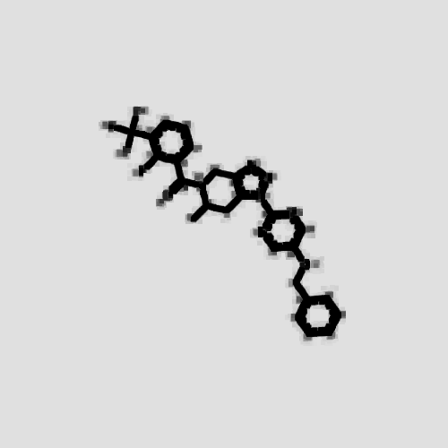 CC1Cc2c(nnn2-c2ncc(OCc3ccccc3)cn2)CN1C(=O)c1cccc(C(F)(F)F)c1F